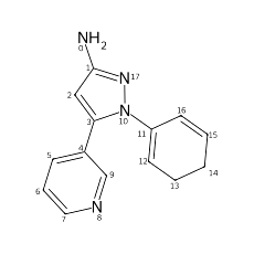 Nc1cc(-c2cccnc2)n(C2=CCCC=C2)n1